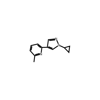 Cc1cccc(-c2cnn(C3CC3)c2)n1